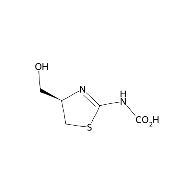 O=C(O)NC1=N[C@H](CO)CS1